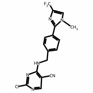 Cn1cc(C(F)(F)F)nc1-c1ccc(CNc2nc(Cl)ncc2C#N)cc1